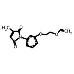 C=COCCOc1cccc(N2C(=O)C=C(C)C2=O)c1